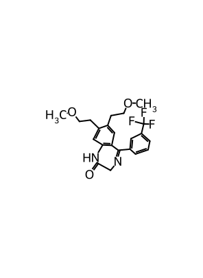 COCCc1cc2c(cc1CCOC)C(c1cccc(C(F)(F)F)c1)=NCC(=O)N2